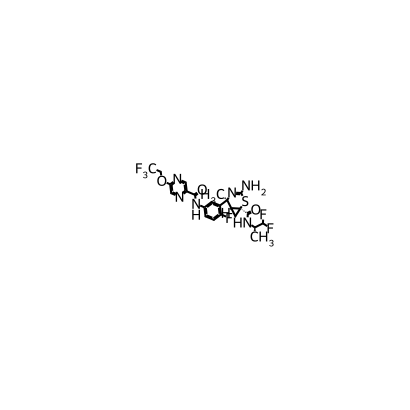 C[C@@H](NC(=O)[C@]12C[C@H]1[C@@](C)(c1cc(NC(=O)c3cnc(OCC(F)(F)F)cn3)ccc1F)N=C(N)S2)C(F)F